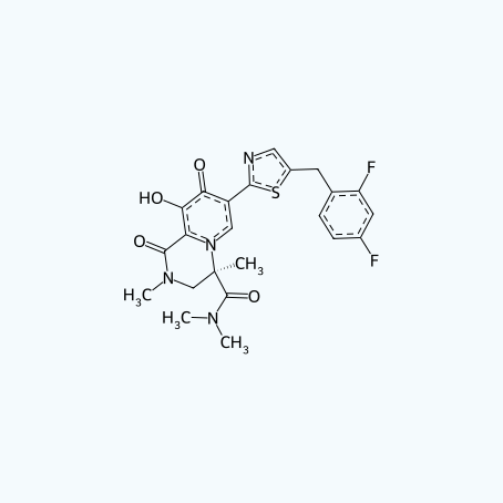 CN(C)C(=O)[C@@]1(C)CN(C)C(=O)c2c(O)c(=O)c(-c3ncc(Cc4ccc(F)cc4F)s3)cn21